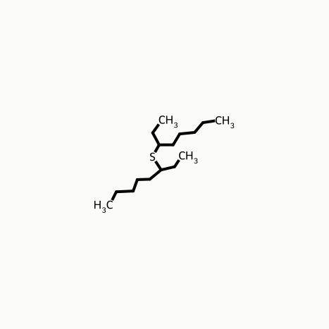 CCCCCC(CC)SC(CC)CCCCC